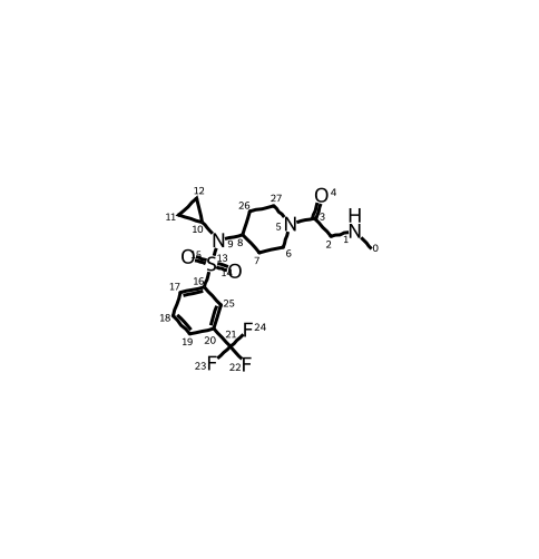 CNCC(=O)N1CCC(N(C2CC2)S(=O)(=O)c2cccc(C(F)(F)F)c2)CC1